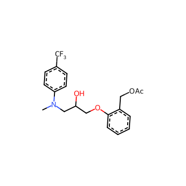 CC(=O)OCc1ccccc1OCC(O)CN(C)c1ccc(C(F)(F)F)cc1